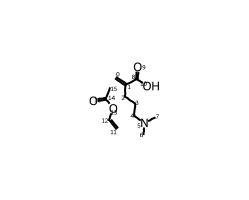 C=C(CCCN(C)C)C(=O)O.C=COC(C)=O